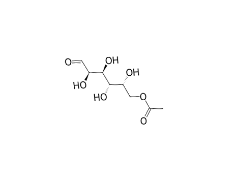 CC(=O)OC[C@@H](O)[C@H](O)[C@H](O)[C@@H](O)C=O